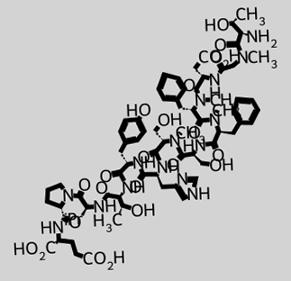 CC(C)[C@H](NC(=O)[C@@H](NC(=O)[C@H](Cc1ccc(O)cc1)NC(=O)[C@H](Cc1c[nH]cn1)NC(=O)[C@H](CO)N(C)C(=O)[C@H](CO)NC(=O)[C@H](Cc1ccccc1)N(C)C(=O)[C@H](Cc1ccccc1)N(C)C(=O)[C@H](CC(=O)O)NC(=O)CN(C)C(=O)[C@@H](N)[C@@H](C)O)[C@@H](C)O)C(=O)N1CCC[C@H]1C(=O)N[C@@H](CCC(=O)O)C(=O)O